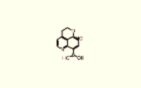 Cl.OB(O)c1ccc2c3c(ccnc13)CCO2